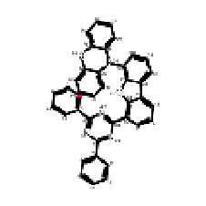 c1ccc(-c2nc(-c3ccccc3)nc(-c3cccc4c3oc3c(N5c6ccccc6Oc6ccccc65)cccc34)n2)cc1